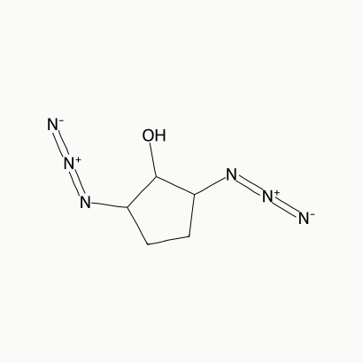 [N-]=[N+]=NC1CCC(N=[N+]=[N-])C1O